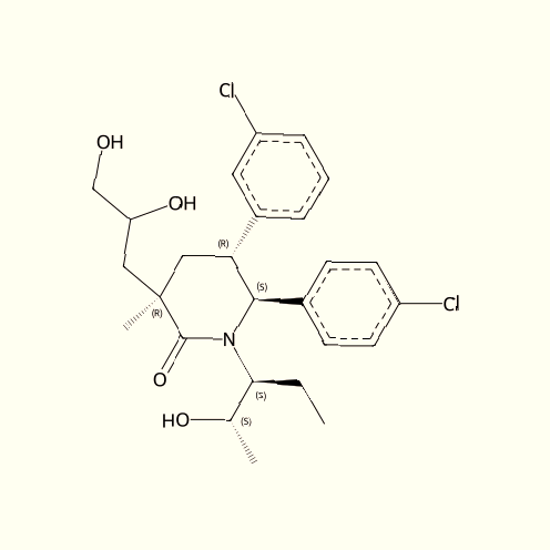 CC[C@@H]([C@H](C)O)N1C(=O)[C@@](C)(CC(O)CO)C[C@H](c2cccc(Cl)c2)[C@H]1c1ccc(Cl)cc1